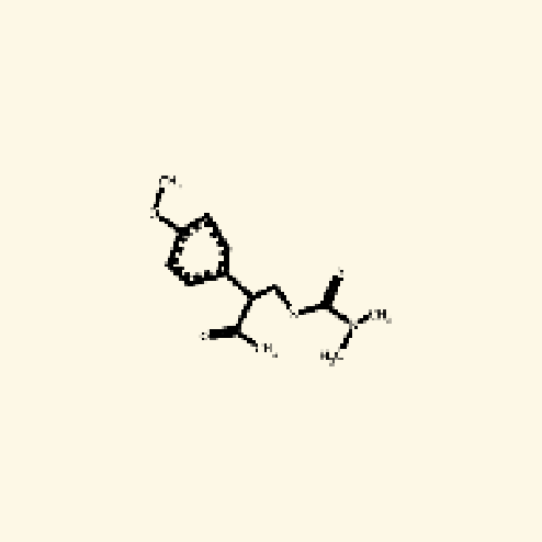 COc1ccc(C(CSC(=S)N(C)C)C(C)=O)cc1